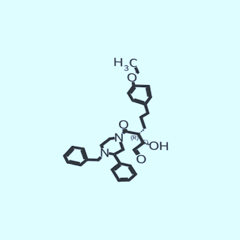 CCOc1ccc(CCC[C@@H](C(=O)N2CCN(Cc3ccccc3)C(c3ccccc3)C2)[C@H](O)C=O)cc1